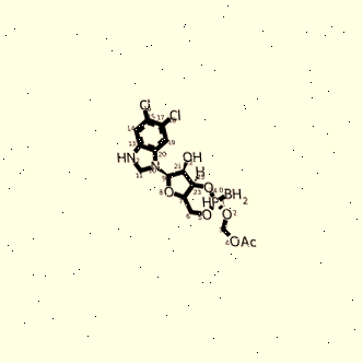 B[PH]1(OCOC(C)=O)OCC2O[C@@H](N3CNc4cc(Cl)c(Cl)cc43)[C@@H](O)[C@H]2O1